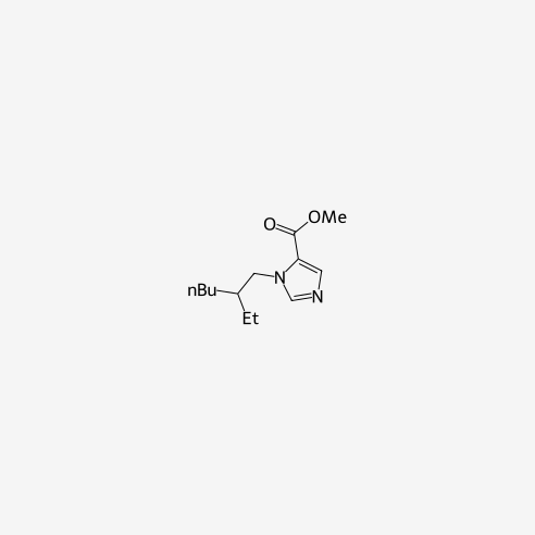 CCCCC(CC)Cn1cncc1C(=O)OC